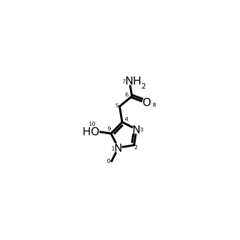 Cn1cnc(CC(N)=O)c1O